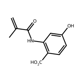 C=C(C)C(=O)Nc1cc(O)ccc1C(=O)O